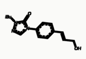 CCC(C)n1ncn(-c2ccc(/C=C/CO)cc2)c1=O